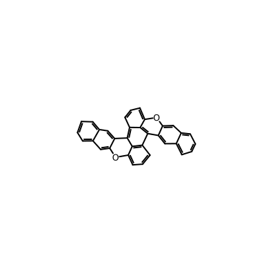 c1ccc2cc3c(cc2c1)oc1cccc2c1c3c1cccc3oc4cc5ccccc5cc4c2c31